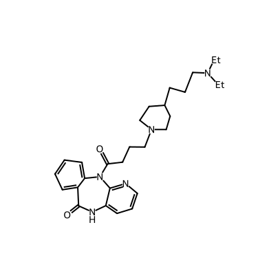 CCN(CC)CCCC1CCN(CCCC(=O)N2c3ccccc3C(=O)Nc3cccnc32)CC1